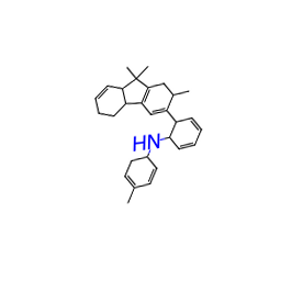 CC1=CCC(NC2C=CC=CC2C2=CC3=C(CC2C)C(C)(C)C2C=CCCC32)C=C1